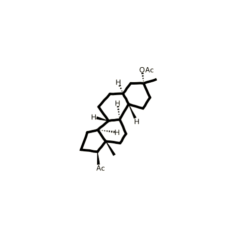 CC(=O)O[C@]1(C)CC[C@H]2[C@@H](CC[C@@H]3[C@@H]2CC[C@]2(C)[C@@H](C(C)=O)CC[C@@H]32)C1